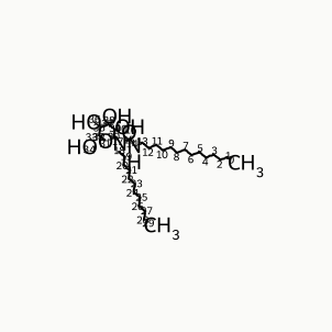 CCCCCCCCCCCCCCNC(=O)N(CCCCCCCCCCCC)C1O[C@H](CO)[C@@H](O)[C@H](O)[C@H]1O